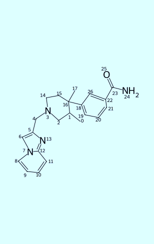 CC1CN(Cc2cn3ccccc3n2)CCC1(C)c1cccc(C(N)=O)c1